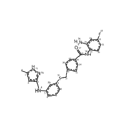 Cc1cc(Nc2cccc(SCc3ccc(C(=O)Nc4ccc(F)cc4N)cc3)c2)n[nH]1